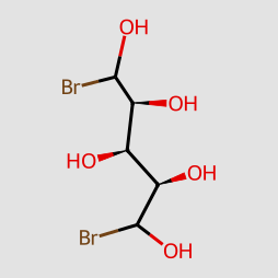 OC(Br)[C@@H](O)[C@H](O)[C@@H](O)C(O)Br